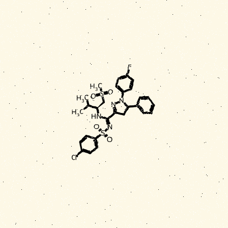 CC(C)[C@@H](CS(C)(=O)=O)N/C(=N\S(=O)(=O)c1ccc(Cl)cc1)C1=NN(c2ccc(F)cc2)C(c2ccccc2)C1